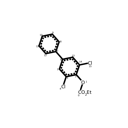 CCOC(=O)Oc1c(Cl)cc(-c2ccccc2)cc1Cl